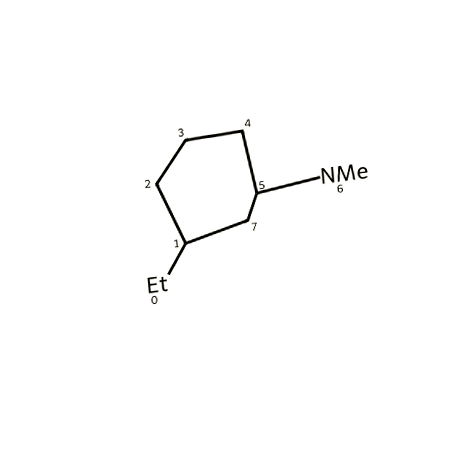 CCC1CCCC(NC)C1